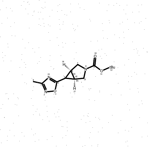 Cc1noc(C2[C@H]3CN(C(=O)OC(C)(C)C)C[C@@H]23)n1